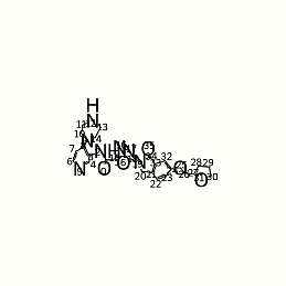 O=C(Nc1cnccc1N1CCNCC1)c1nnc(N2Cc3ccc(OCC4CCCO4)cc3C2=O)o1